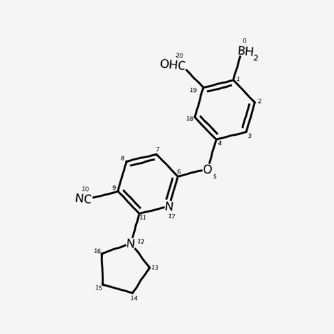 Bc1ccc(Oc2ccc(C#N)c(N3CCCC3)n2)cc1C=O